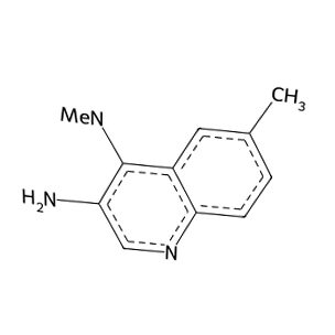 CNc1c(N)cnc2ccc(C)cc12